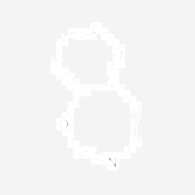 C1=Cc2ccccc2OC=N1